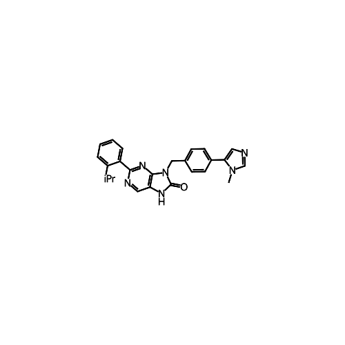 CC(C)c1ccccc1-c1ncc2[nH]c(=O)n(Cc3ccc(-c4cncn4C)cc3)c2n1